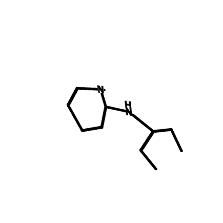 CCC(CC)NC1CCCC[N]1